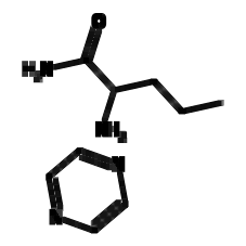 CCCC(N)C(N)=O.c1cnccn1